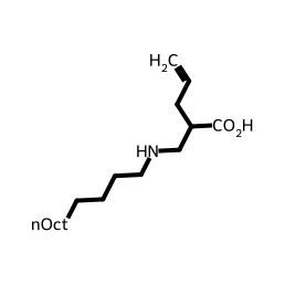 C=CCC(CNCCCCCCCCCCCC)C(=O)O